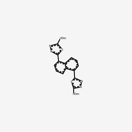 CCCCCCCCCCc1nnc(-c2cccc3c(-c4nnc(CCCCCCCCCC)s4)cccc23)s1